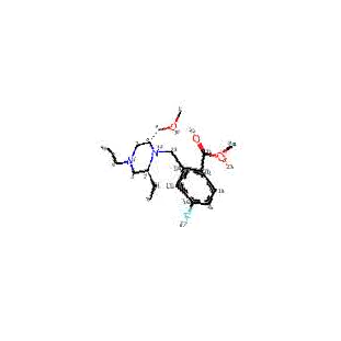 CC[C@H]1CN(CC)C[C@H](COC)N1Cc1cc(F)ccc1C(=O)OC